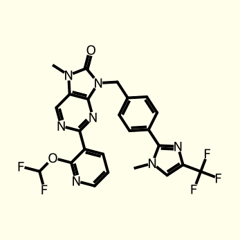 Cn1cc(C(F)(F)F)nc1-c1ccc(Cn2c(=O)n(C)c3cnc(-c4cccnc4OC(F)F)nc32)cc1